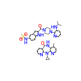 CC(C)Nc1cccnc1N1CCN(C(=O)c2cc3cc(NS(C)(=O)=O)ccc3[nH]2)CC1.Cc1ccnc2c1NC(=O)c1cccnc1N2C1CC1